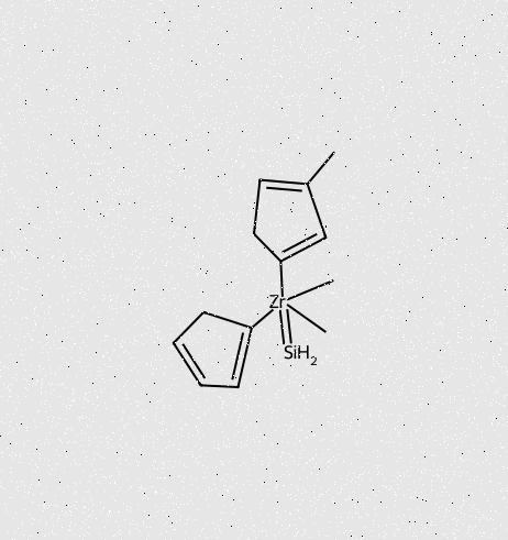 CC1=CC[C]([Zr]([CH3])([CH3])(=[SiH2])[C]2=CC=CC2)=C1